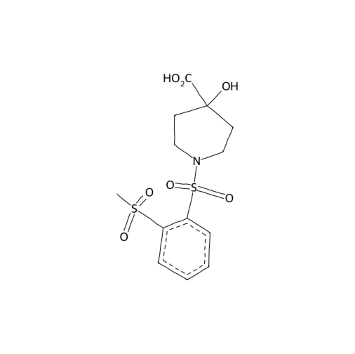 CS(=O)(=O)c1ccccc1S(=O)(=O)N1CCC(O)(C(=O)O)CC1